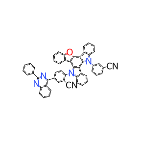 N#Cc1cccc(-n2c3ccccc3c3c4oc5ccccc5c4c4c(c5ccccc5n4-c4ccc(-c5nc(-c6ccccc6)nc6ccccc56)cc4C#N)c32)c1